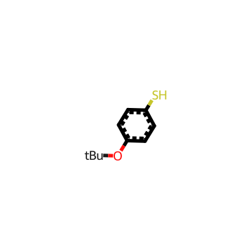 CC(C)(C)Oc1ccc(S)cc1